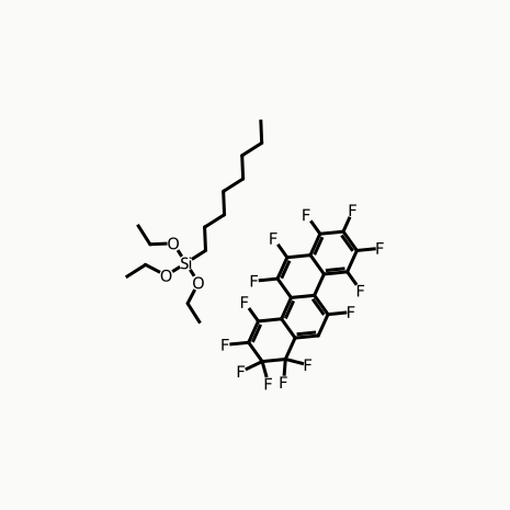 CCCCCCCC[Si](OCC)(OCC)OCC.FC1=C(F)C(F)(F)C(F)(F)c2cc(F)c3c(c(F)c(F)c4c(F)c(F)c(F)c(F)c43)c21